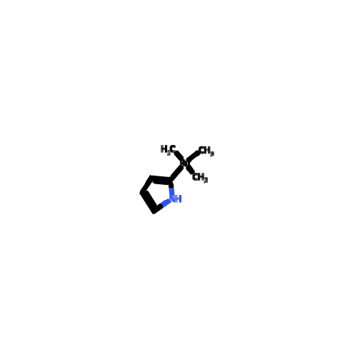 [CH3][Ru]([CH3])([CH3])[c]1ccc[nH]1